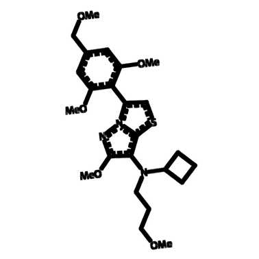 COCCCN(c1c(OC)nn2c(-c3c(OC)cc(COC)cc3OC)csc12)C1CCC1